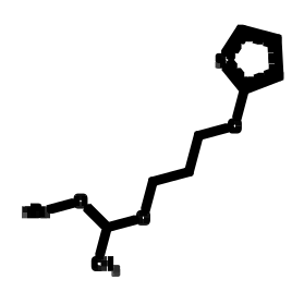 CCCCOC(C)OCCCOc1cccs1